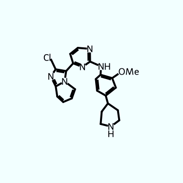 COc1cc(C2CCNCC2)ccc1Nc1nccc(-c2c(Cl)nc3ccccn23)n1